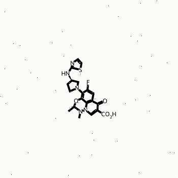 CC1Oc2c(N3CC[C@@H](Nc4nccs4)C3)c(F)cc3c(=O)c(C(=O)O)cn(c23)N1C